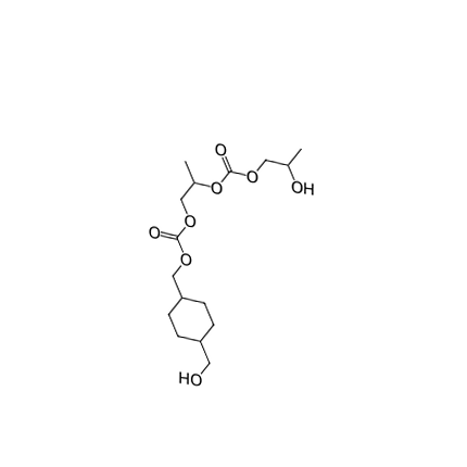 CC(O)COC(=O)OC(C)COC(=O)OCC1CCC(CO)CC1